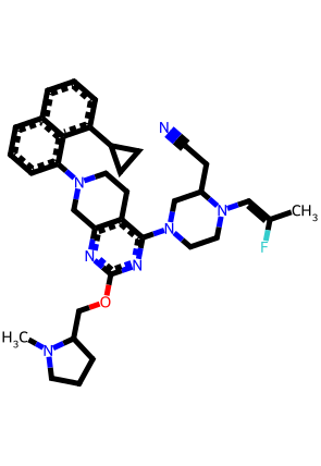 CC(F)=CN1CCN(c2nc(OCC3CCCN3C)nc3c2CCN(c2cccc4cccc(C5CC5)c24)C3)CC1CC#N